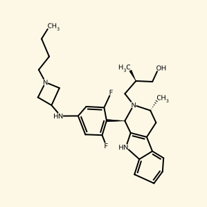 CCCCN1CC(Nc2cc(F)c([C@@H]3c4[nH]c5ccccc5c4C[C@@H](C)N3C[C@@H](C)CO)c(F)c2)C1